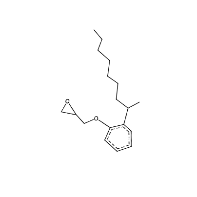 CCCCCCCC(C)c1ccccc1OCC1CO1